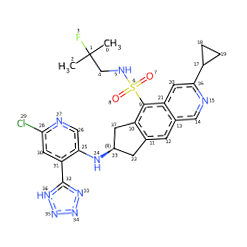 CC(C)(F)CNS(=O)(=O)c1c2c(cc3cnc(C4CC4)cc13)C[C@@H](Nc1cnc(Cl)cc1-c1nnn[nH]1)C2